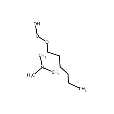 CCCCCCOOO.CN(C)C